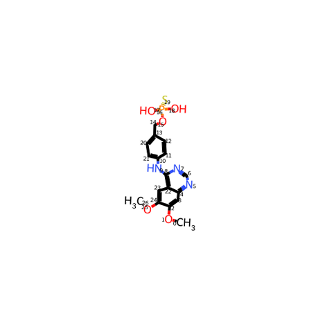 COc1cc2ncnc(Nc3ccc(COP(O)(O)=S)cc3)c2cc1OC